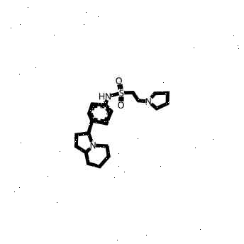 O=S(=O)(CCN1CCCC1)Nc1ccc(C2CCC3CCCCN32)cc1